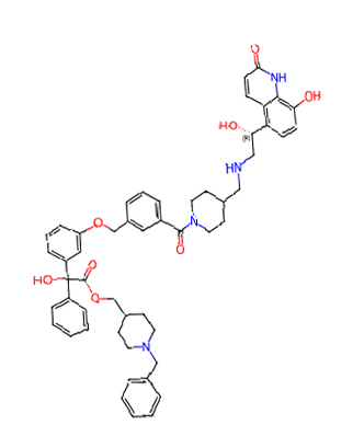 O=C(c1cccc(COc2cccc(C(O)(C(=O)OCC3CCN(Cc4ccccc4)CC3)c3ccccc3)c2)c1)N1CCC(CNC[C@H](O)c2ccc(O)c3[nH]c(=O)ccc23)CC1